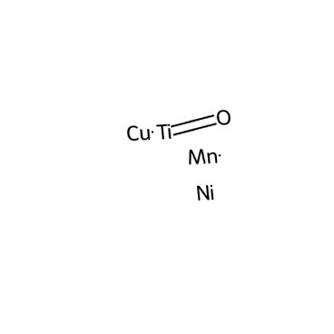 [Cu].[Mn].[Ni].[O]=[Ti]